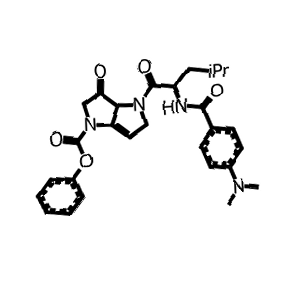 CC(C)CC(NC(=O)c1ccc(N(C)C)cc1)C(=O)N1CC=C2C1C(=O)CN2C(=O)Oc1ccccc1